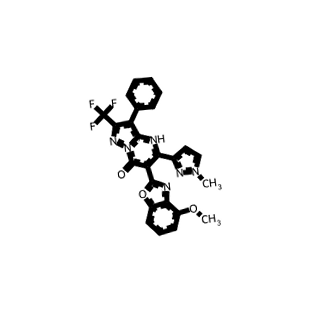 COc1cccc2oc(-c3c(-c4ccn(C)n4)[nH]c4c(-c5ccccc5)c(C(F)(F)F)nn4c3=O)nc12